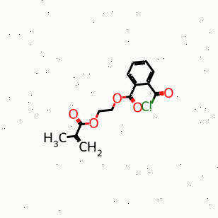 C=C(C)C(=O)OCCOC(=O)c1ccccc1C(=O)Cl